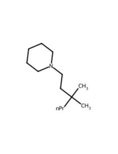 CCCC(C)(C)CCN1CCCCC1